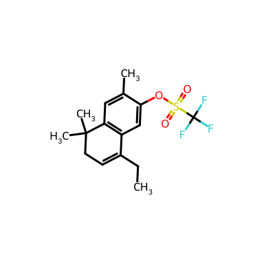 CCC1=CCC(C)(C)c2cc(C)c(OS(=O)(=O)C(F)(F)F)cc21